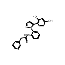 O=C(Cc1ccccc1)Nc1ccccc1-n1nccc1-c1ccc(O)cc1O